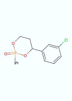 CC(C)P1(=O)OCCC(c2cccc(Cl)c2)O1